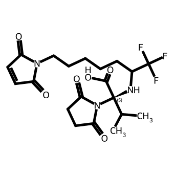 CC(C)[C@@](NC(CCCCCN1C(=O)C=CC1=O)C(F)(F)F)(C(=O)O)N1C(=O)CCC1=O